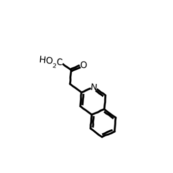 O=C(O)C(=O)Cc1cc2ccccc2cn1